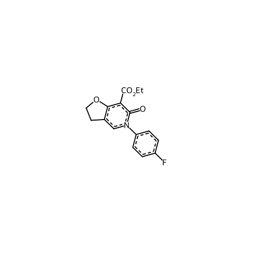 CCOC(=O)c1c2c(cn(-c3ccc(F)cc3)c1=O)CCO2